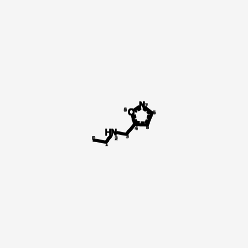 CCNCc1ccno1